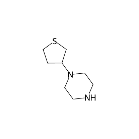 C1CN(C2CCSC2)CCN1